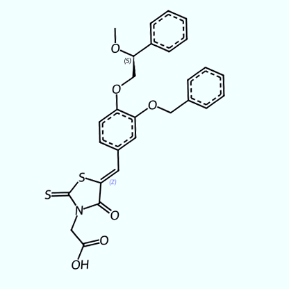 CO[C@H](COc1ccc(/C=C2\SC(=S)N(CC(=O)O)C2=O)cc1OCc1ccccc1)c1ccccc1